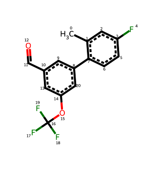 Cc1cc(F)ccc1-c1cc(C=O)cc(OC(F)(F)F)c1